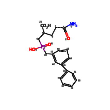 NC(=O)CCC(CP(=O)(O)Cc1cccc(-c2ccccc2)c1)C(=O)O